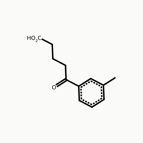 Cc1cccc(C(=O)CCCC(=O)O)c1